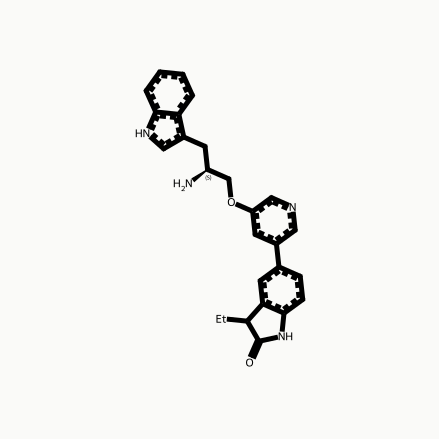 CCC1C(=O)Nc2ccc(-c3cncc(OC[C@@H](N)Cc4c[nH]c5ccccc45)c3)cc21